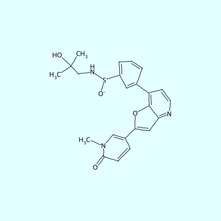 Cn1cc(-c2cc3nccc(-c4cccc([S+]([O-])NCC(C)(C)O)c4)c3o2)ccc1=O